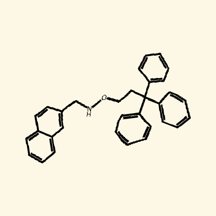 c1ccc(C(CCONCc2ccc3ccccc3c2)(c2ccccc2)c2ccccc2)cc1